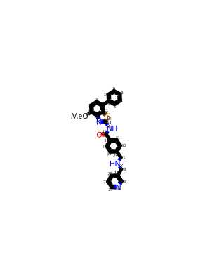 COc1ccc(-c2ccccc2)c2sc(NC(=O)c3ccc(CNCc4cccnc4)cc3)nc12